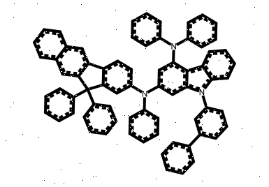 c1ccc(-c2cccc(-n3c4ccccc4c4c(N(c5ccccc5)c5ccccc5)cc(N(c5ccccc5)c5ccc6c(c5)C(c5ccccc5)(c5ccccc5)c5cc7ccccc7cc5-6)cc43)c2)cc1